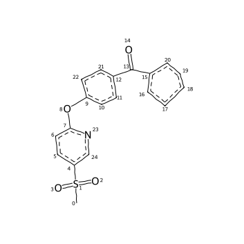 CS(=O)(=O)c1ccc(Oc2ccc(C(=O)c3ccccc3)cc2)nc1